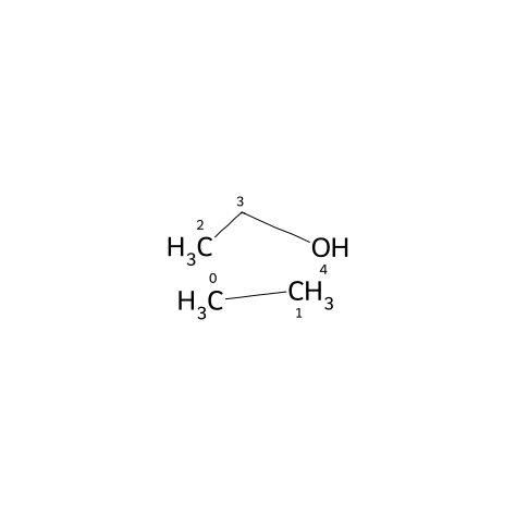 CC.CCO